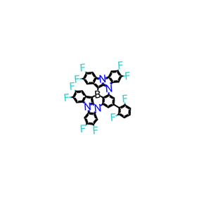 Fc1cc2c3c4n(c5cc(F)c(F)cc5n4c2cc1F)-c1cc(-c2c(F)cccc2F)cc2c1B3c1c3cc(F)c(F)cc3n3c4cc(F)c(F)cc4n-2c13